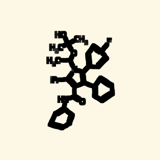 CC(C)c1c(C(=O)Nc2ccccc2)c(-c2ccccc2)c(-c2ccc(F)cc2)n1C(C)OC(C)(C)O